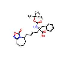 CC(C)(C)OC(=O)N[C@](CC=CCC1CCCCc2noc(=O)n21)(Cc1ccccc1)C(=O)O